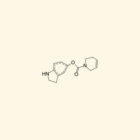 O=C(Oc1ccc2c(c1)CCN2)N1CC=CCC1